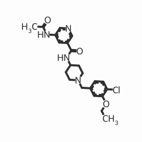 CCOc1cc(CN2CCC(NC(=O)c3cncc(NC(C)=O)c3)CC2)ccc1Cl